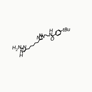 CC(C)(C)c1ccc(C(=O)NCCn2cc(CCCCCc3c[nH]c(N)n3)nn2)cc1